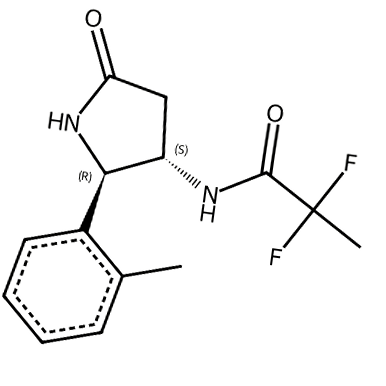 Cc1ccccc1[C@H]1NC(=O)C[C@@H]1NC(=O)C(C)(F)F